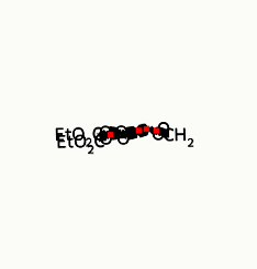 C=CC(=O)OCCC[C@H]1CC[C@H](c2ccc(C(=O)Oc3ccc(C4O[C@@H](C(=O)OCC)[C@H](C(=O)OCC)O4)cc3)cc2)CC1